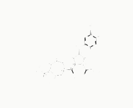 CC(=O)N1CC(Oc2cccc(F)c2)CC1C(=O)N1CCCN(C(C)C)CC1